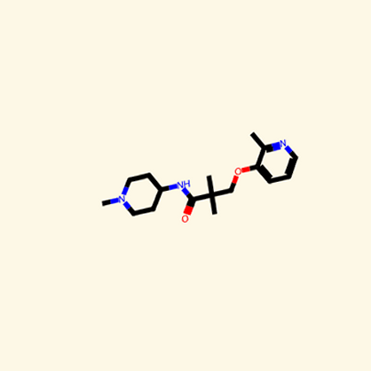 Cc1ncccc1OCC(C)(C)C(=O)NC1CCN(C)CC1